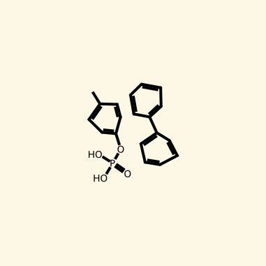 Cc1ccc(OP(=O)(O)O)cc1.c1ccc(-c2ccccc2)cc1